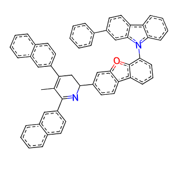 CC1=C(c2ccc3ccccc3c2)CC(c2ccc3c(c2)oc2c(-n4c5ccccc5c5ccc(-c6ccccc6)cc54)cccc23)N=C1c1ccc2ccccc2c1